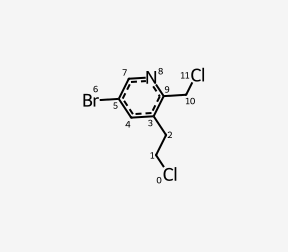 ClCCc1cc(Br)cnc1CCl